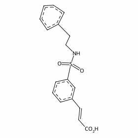 O=C(O)C=Cc1cccc(S(=O)(=O)NCCc2ccccc2)c1